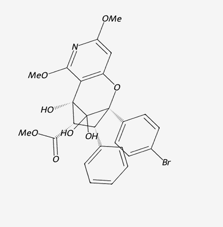 COC(=O)[C@H]1[C@@H](c2ccccc2)[C@]2(c3ccc(Br)cc3)Oc3cc(OC)nc(OC)c3[C@@]1(O)C2(O)O